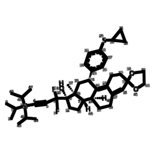 CC(C)[Si](C#CC(F)(F)[C@]1(O)CC[C@H]2[C@@H]3CCC4=CC5(CCC4=C3[C@@H](c3ccc(SC4CC4)cc3)C[C@@]21C)OCCO5)(C(C)C)C(C)C